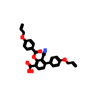 C=CCOc1ccc(C(=O)Oc2c(C(=O)O)ccc(-c3ccc(OCC=C)cc3)c2C#N)cc1